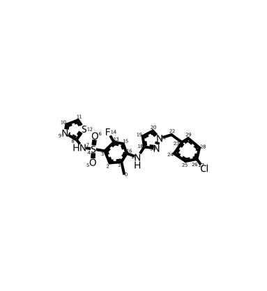 Cc1cc(S(=O)(=O)Nc2nccs2)c(F)cc1Nc1ccn(Cc2ccc(Cl)cc2)n1